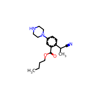 CCCCOC(=O)c1cc(N2CCNCC2)ccc1C(C)C#N